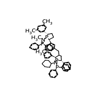 Cc1cc(C)cc([C@@H]2CC[C@@H](c3cc(C)cc(CC4C[C@H](c5ccccc5)P(N(C5CCCCC5)P(c5ccccc5)c5ccccc5)[C@H]4c4ccccc4)c3)P2N(C)P(c2ccccc2)c2ccccc2)c1